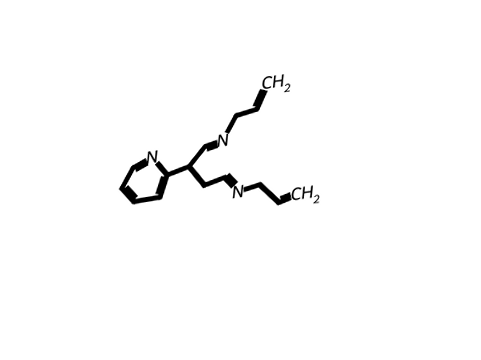 C=CCN=CCC(C=NCC=C)c1ccccn1